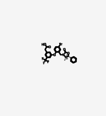 C[C@H]1[C@@H](c2ccccc2)OC(=O)N1Cc1cc(Br)ccc1Oc1cc(CC(=O)O)cc(C(F)(F)F)c1